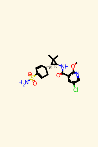 COc1ncc(Cl)cc1C(=O)N[C@H]1[C@H](C2C=CC(S(N)(=O)=O)=CC2)C1(C)C